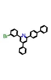 Brc1cccc(-c2cc(-c3ccccc3)cc(-c3ccc(-c4ccccc4)cc3)n2)c1